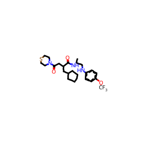 CC(CNc1ccc(OC(F)(F)F)cc1)NC(=O)C(CC(=O)N1CCSCC1)CC1CCCCC1